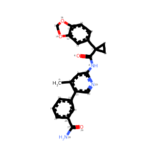 Cc1cc(NC(=O)C2(c3ccc4c(c3)OCO4)CC2)ncc1-c1cccc(C(N)=O)c1